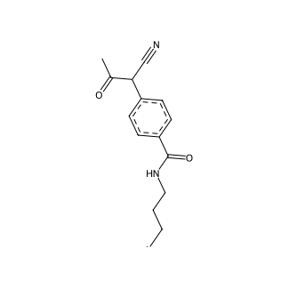 [CH2]CCCNC(=O)c1ccc(C(C#N)C(C)=O)cc1